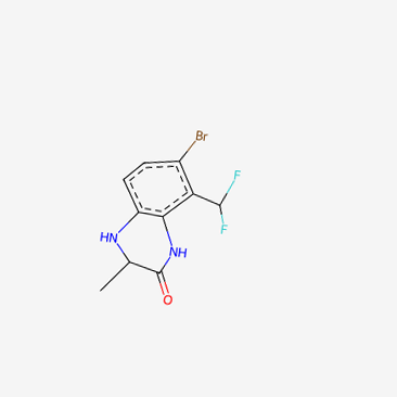 CC1Nc2ccc(Br)c(C(F)F)c2NC1=O